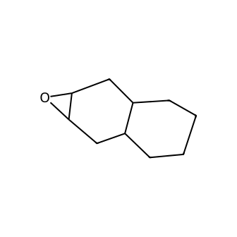 C1CCC2CC3OC3CC2C1